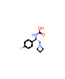 O=C(O)N[C@H](CN1CCC1)c1ccc(F)cc1